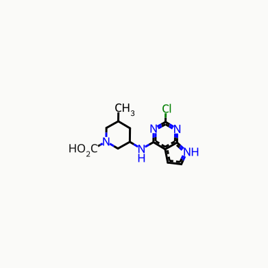 CC1CC(Nc2nc(Cl)nc3[nH]ccc23)CN(C(=O)O)C1